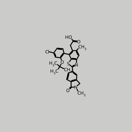 Cc1cc2nc(-c3ccc4c(c3)CN(C)C4=O)sc2c(-c2ccc(Cl)cc2OC(C)(C)C)c1CC(=O)O